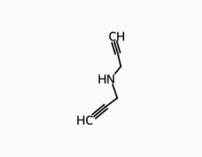 C#CCNCC#C